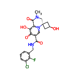 CN1C[C@]2(C[C@H](O)C2)n2cc(C(=O)NCc3cccc(Cl)c3F)c(=O)c(O)c2C1=O